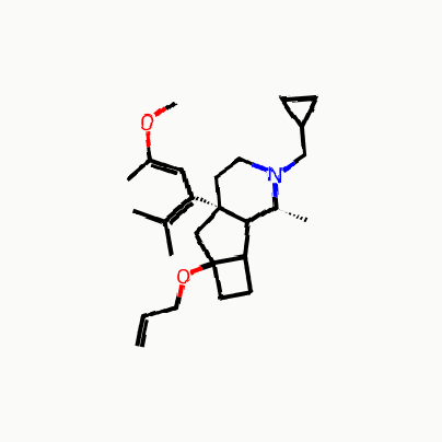 C=CCOC12CCC1C1[C@@H](C)N(CC3CC3)CC[C@]1(C(/C=C(\C)OC)=C(C)C)C2